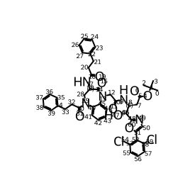 CC(C)(C)OC(=O)C[C@H](NC(=O)CN1C(=O)[C@@H](NC(=O)CCc2ccccc2)CN(C(=O)CCc2ccccc2)c2ccccc21)[C@@H](O)c1ncc(-c2c(Cl)cccc2Cl)o1